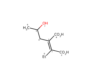 CCC(C(=O)O)=C(CC(C)O)C(=O)O